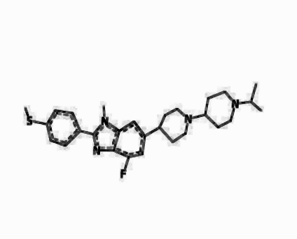 CSc1ccc(-c2nc3c(F)cc(C4CCN(C5CCN(C(C)C)CC5)CC4)cc3n2C)cc1